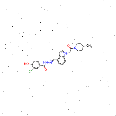 CC1CCN(C(=O)Cn2ccc3c(/C=N/NC(=O)c4ccc(O)c(Cl)c4)cccc32)CC1